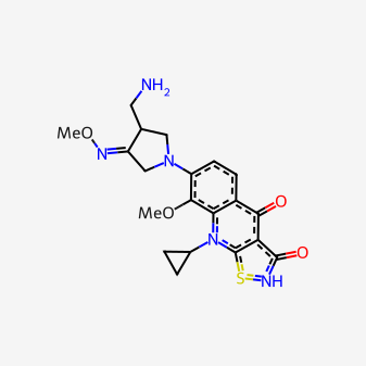 CO/N=C1/CN(c2ccc3c(=O)c4c(=O)[nH]sc4n(C4CC4)c3c2OC)CC1CN